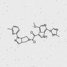 COc1cnc(-n2cnc(C)n2)c2[nH]cc(C(=O)C(=O)N3CC4C=NN(c5cccc(C)n5)C4C3)c12